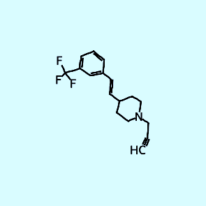 C#CCN1CCC(/C=C/c2cccc(C(F)(F)F)c2)CC1